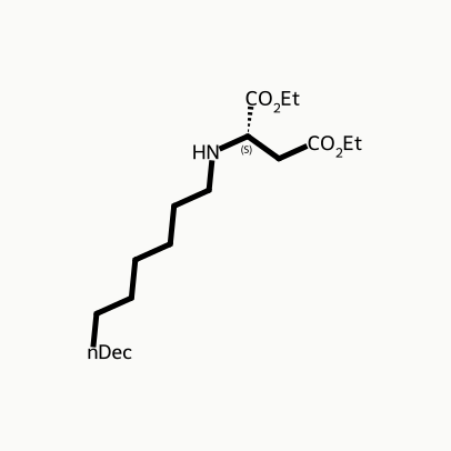 CCCCCCCCCCCCCCCCN[C@@H](CC(=O)OCC)C(=O)OCC